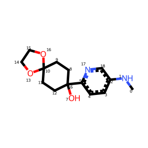 CNc1ccc(C2(O)CCC3(CC2)OCCO3)nc1